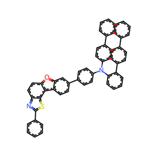 c1ccc(-c2ccc(-c3ccccc3N(c3ccc(-c4ccccc4)cc3)c3ccc(-c4ccc5c(c4)oc4ccc6nc(-c7ccccc7)sc6c45)cc3)cc2)cc1